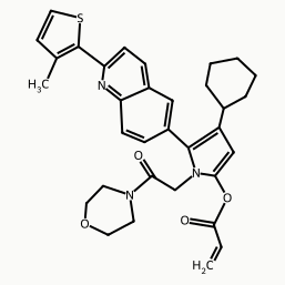 C=CC(=O)Oc1cc(C2CCCCC2)c(-c2ccc3nc(-c4sccc4C)ccc3c2)n1CC(=O)N1CCOCC1